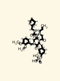 C=CCN1CC(=O)N2[C@@H](Cc3ccc(OP(=O)(O)O)cc3)C(=O)N(Cc3cccc(OC)c3OC)C[C@@H]2N1C(=O)NCc1ccccn1